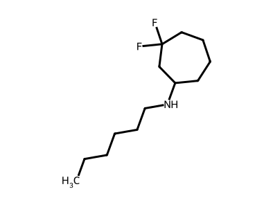 CCCCCCNC1CCCCC(F)(F)C1